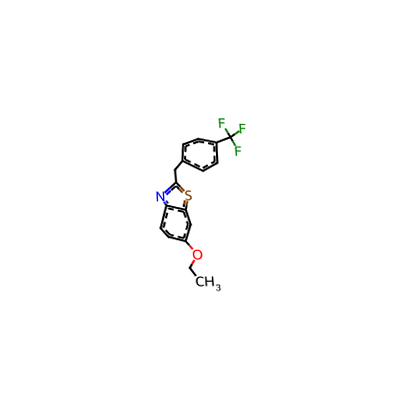 CCOc1ccc2nc(Cc3ccc(C(F)(F)F)cc3)sc2c1